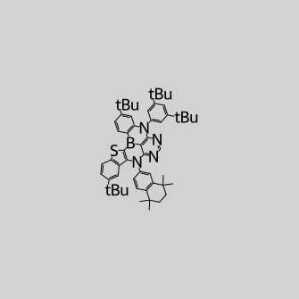 CC(C)(C)c1cc(N2c3cc(C(C)(C)C)ccc3B3c4sc5ccc(C(C)(C)C)cc5c4N(c4ccc5c(c4)C(C)(C)CCC5(C)C)c4ncnc2c43)cc(C(C)(C)C)c1